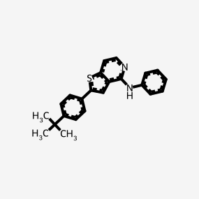 CC(C)(C)c1ccc(-c2cc3c(Nc4ccccc4)nccc3s2)cc1